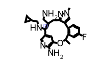 CC1Oc2cc(cnc2N)/C(NCC2CC2)=C(/CN)Cc2nn(C)cc2-c2ccc(F)cc21